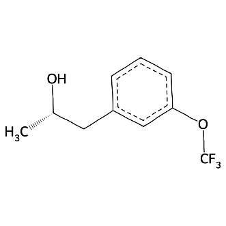 C[C@H](O)Cc1cccc(OC(F)(F)F)c1